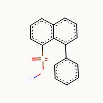 NOS(=O)(=O)c1cccc2cccc(-c3ccccc3)c12